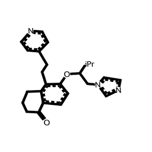 CC(C)C(Cn1ccnc1)Oc1ccc2c(c1CCc1ccncc1)CCCC2=O